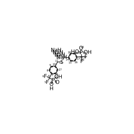 O=P(O)(O)C(F)(F)c1ccc(CSCc2ccc(C(F)(F)P(=O)(O)O)cc2)cc1.[NaH].[NaH].[NaH].[NaH]